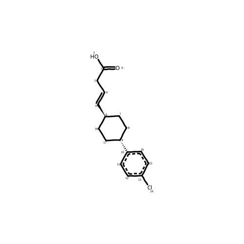 O=C(O)CC=C[C@H]1CC[C@H](c2ccc(Cl)cc2)CC1